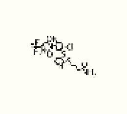 Cn1c(C(F)(F)F)cc(=O)n(-c2cc(Sc3cccnc3SCCCC(N)=O)c(Cl)cc2F)c1=O